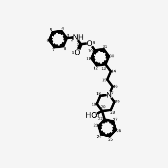 O=C(Nc1ccccc1)Oc1ccc(CCCN2CCC(O)(c3ccccc3)CC2)cc1